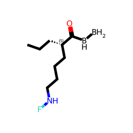 BBC(=O)[C@@H](CCC)CCCCNF